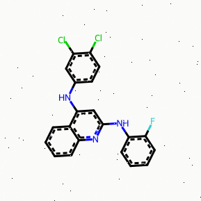 Fc1ccccc1Nc1cc(Nc2ccc(Cl)c(Cl)c2)c2ccccc2n1